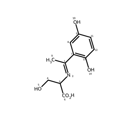 CC(=NC(CO)C(=O)O)c1cc(O)ccc1O